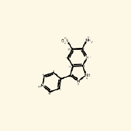 Nc1nc2[nH]nc(-c3ccncc3)c2cc1[N+](=O)[O-]